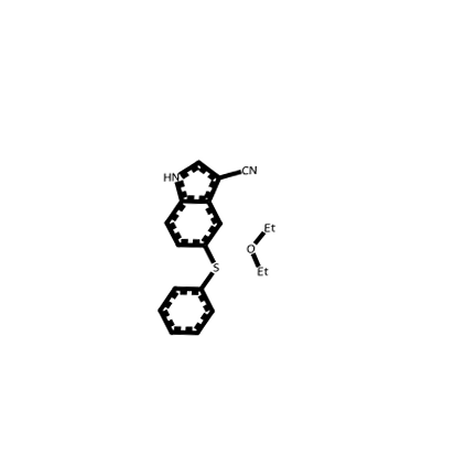 CCOCC.N#Cc1c[nH]c2ccc(Sc3ccccc3)cc12